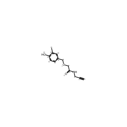 C#CCNC(=O)COCc1ccc(O)c(C)c1